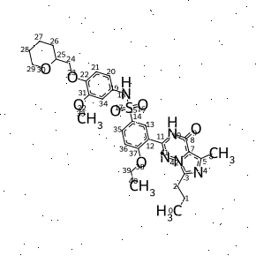 CCCc1nc(C)c2c(=O)[nH]c(-c3cc(S(=O)(=O)Nc4ccc(OCC5CCCCO5)c(OC)c4)ccc3OCC)nn12